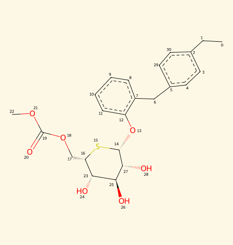 CCc1ccc(Cc2ccccc2O[C@H]2S[C@@H](COC(=O)OC)[C@@H](O)[C@H](O)[C@H]2O)cc1